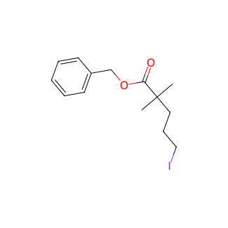 CC(C)(CCCI)C(=O)OCc1ccccc1